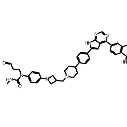 CNC(=O)N(CCC=O)c1ccc(N2CC(CN3CCC(c4ccc(-c5cc6c(-c7ccc(CNC=O)c(C)c7)ncnc6[nH]5)cc4)CC3)C2)cc1